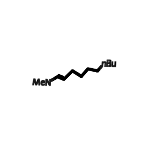 CCCCCCCC/C=C/NC